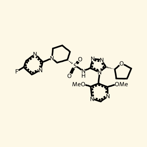 COc1ncnc(OC)c1-n1c(NS(=O)(=O)[C@H]2CCCN(c3ncc(F)cn3)C2)nnc1[C@H]1CCCO1